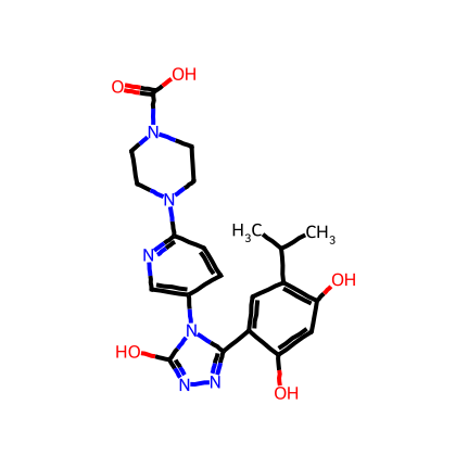 CC(C)c1cc(-c2nnc(O)n2-c2ccc(N3CCN(C(=O)O)CC3)nc2)c(O)cc1O